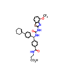 O=C(O)CCNC(=O)c1ccc(C(NC(=O)Nc2nc3c(OC(F)(F)F)cccc3s2)c2ccc(C3=CCCCC3)cc2)cc1